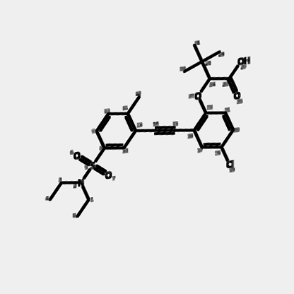 CCN(CC)S(=O)(=O)c1ccc(C)c(C#Cc2cc(Cl)ccc2OC(C(=O)O)C(C)(C)C)c1